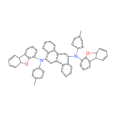 Cc1ccc(N(c2cccc3c2OC2C=CC=CC32)c2cc3c4ccccc4c(N(c4ccc(C)cc4)c4cccc5c4OC4C=CC=CC54)cc3c3ccccc23)cc1